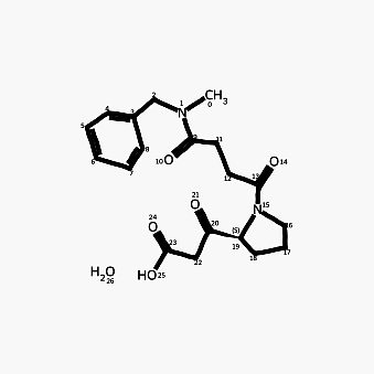 CN(Cc1ccccc1)C(=O)CCC(=O)N1CCC[C@H]1C(=O)CC(=O)O.O